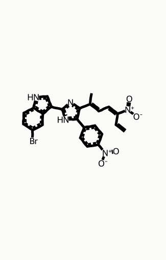 C=C/C(=C\C=C(/C)c1nc(-c2c[nH]c3ccc(Br)cc23)[nH]c1-c1ccc([N+](=O)[O-])cc1)[N+](=O)[O-]